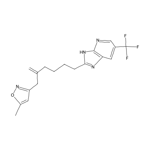 C=C(CCCCc1nc2cc(C(F)(F)F)cnc2[nH]1)Cc1cc(C)on1